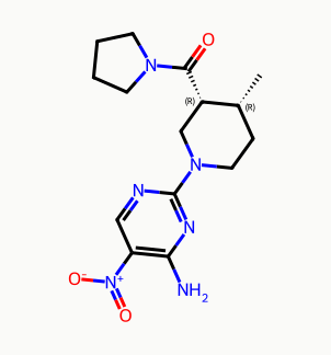 C[C@@H]1CCN(c2ncc([N+](=O)[O-])c(N)n2)C[C@@H]1C(=O)N1CCCC1